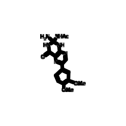 COc1ccc(-c2cnc3c(n2)C(=O)NC(N)(NC(C)=O)N3)cc1OC